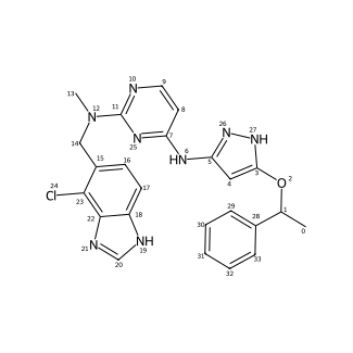 CC(Oc1cc(Nc2ccnc(N(C)Cc3ccc4[nH]cnc4c3Cl)n2)n[nH]1)c1ccccc1